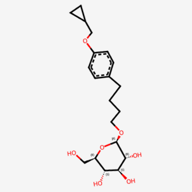 OC[C@H]1O[C@@H](OCCCCc2ccc(OCC3CC3)cc2)[C@H](O)[C@@H](O)[C@@H]1O